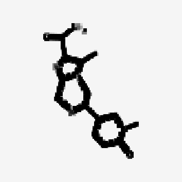 Cc1c(C(N)=O)nc2cnc(-c3ccc(=O)n(C)c3)cn12